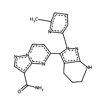 Cc1cccc(-n2nc3c(c2-c2ccn4ncc(C(N)=O)c4n2)CCCN3)n1